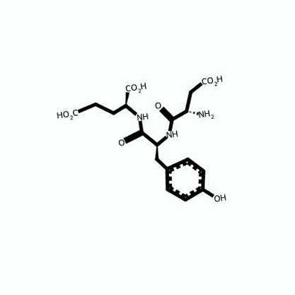 N[C@@H](CC(=O)O)C(=O)N[C@@H](Cc1ccc(O)cc1)C(=O)N[C@@H](CCC(=O)O)C(=O)O